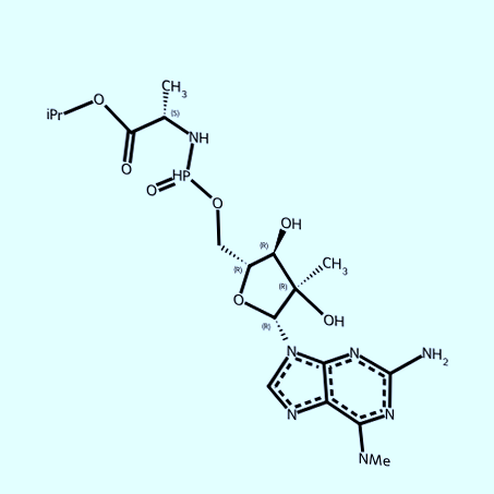 CNc1nc(N)nc2c1ncn2[C@@H]1O[C@H](CO[PH](=O)N[C@@H](C)C(=O)OC(C)C)[C@@H](O)[C@@]1(C)O